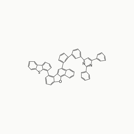 c1ccc(-c2cc(-c3cccc(-c4cccc(-c5cc6c(oc7cccc(-c8cccc9c8sc8ccccc89)c76)c6ccccc56)c4)c3)nc(-c3ccccc3)n2)cc1